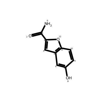 NC(=O)c1cc2cc(O)ccc2o1